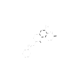 O=C1CCc2c(c(Br)cc3c2C(=O)C(CNC2CCCCC2)CC3)N1